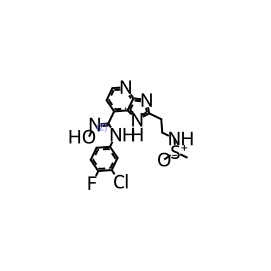 C[S+]([O-])NCCc1nc2nccc(/C(=N/O)Nc3ccc(F)c(Cl)c3)c2[nH]1